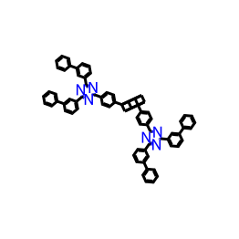 c1ccc(-c2cccc(-c3nc(-c4ccc(C56C7C8C5C5C6C7C85c5ccc(-c6nc(-c7cccc(-c8ccccc8)c7)nc(-c7cccc(-c8ccccc8)c7)n6)cc5)cc4)nc(-c4cccc(-c5ccccc5)c4)n3)c2)cc1